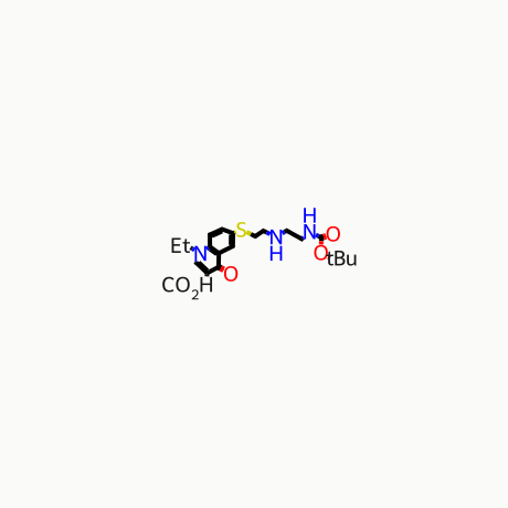 CCn1cc(C(=O)O)c(=O)c2cc(SCCNCCNC(=O)OC(C)(C)C)ccc21